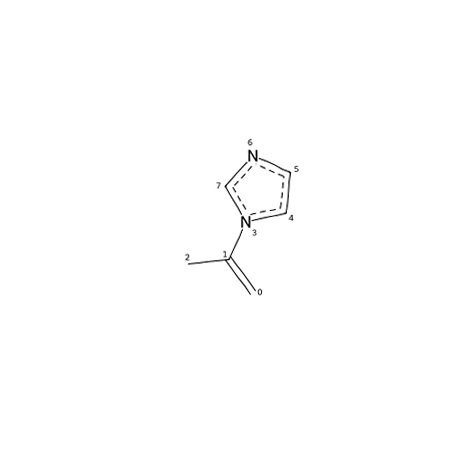 C=C(C)n1ccnc1